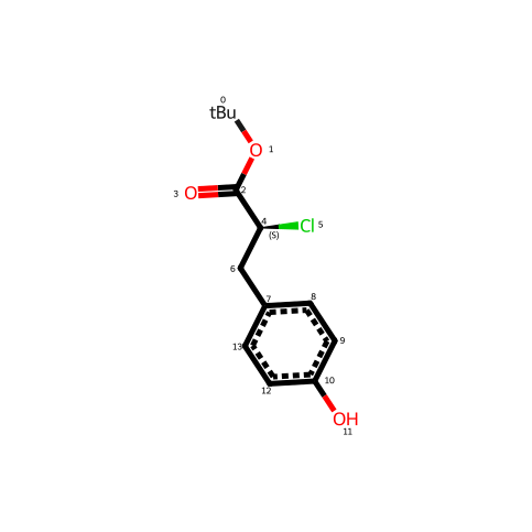 CC(C)(C)OC(=O)[C@@H](Cl)Cc1ccc(O)cc1